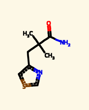 CC(C)(Cc1cscn1)C(N)=O